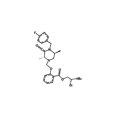 CCCCC(CC)COC(=O)c1ccccc1OCN1C[C@H](C)N(Cc2ccc(F)cc2)C(=C=O)[C@H]1C